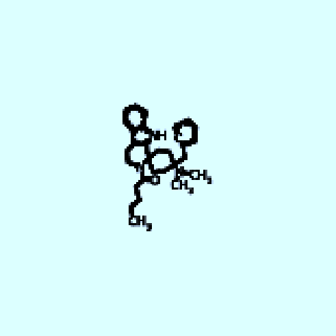 CCCCC(=O)N1CCc2c([nH]c3ccccc23)C12CCC(Cc1ccccc1)(N(C)C)CC2